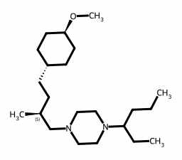 CCCC(CC)N1CCN(C[C@@H](C)CC[C@H]2CC[C@H](OC)CC2)CC1